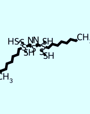 CCCCCCCCS(S)(SS)c1nnc(S(S)(CCCCCCCC)SS)s1